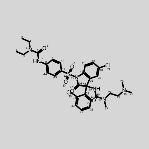 CCN(CC)C(=O)Nc1ccc(S(=O)(=O)N2C(=O)C(NC(=O)N(C)CCN(C)C)(c3ccccc3Cl)c3cc(Cl)ccc32)cc1